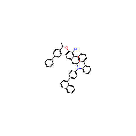 CC(Oc1ccc2cc(N(c3ccc(-c4cccc5ccccc45)cc3)c3ccccc3-c3ccccc3)ccc2c1N)c1ccc(-c2ccccc2)cc1